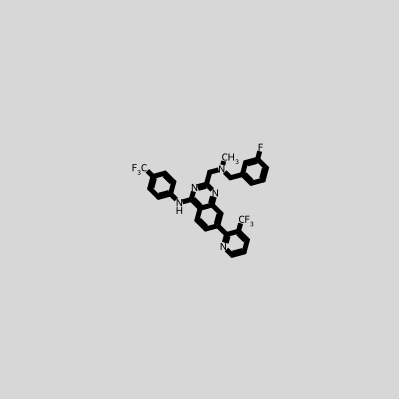 CN(Cc1cccc(F)c1)Cc1nc(Nc2ccc(C(F)(F)F)cc2)c2ccc(-c3ncccc3C(F)(F)F)cc2n1